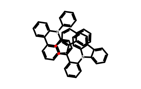 c1ccc(N(c2ccc(-c3ccccc3-n3c4ccccc4c4ccccc43)cc2)c2ccccc2-c2cccc3oc4c5ccccc5ccc4c23)cc1